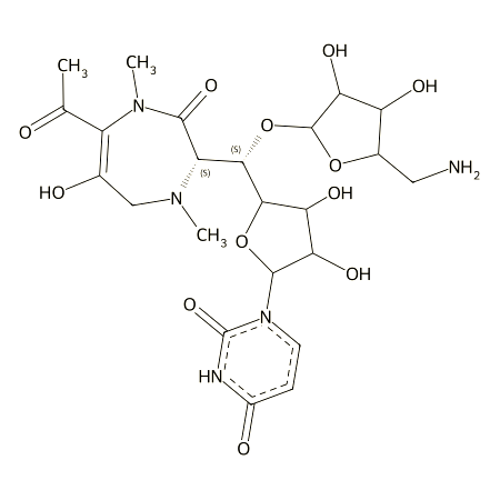 CC(=O)C1=C(O)CN(C)[C@@H]([C@H](OC2OC(CN)C(O)C2O)C2OC(n3ccc(=O)[nH]c3=O)C(O)C2O)C(=O)N1C